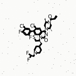 C=CC(=O)N1C[C@H](C)N(c2nc(=O)n3c4c(c(-c5cc(Cl)c(F)cc5F)c(Cl)cc24)SC[C@@H]3CC2CCN(CC(F)F)CC2)C[C@H]1C